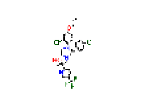 CCCOc1ccc(N2CCN(C[C@@](C)(O)c3ccc(C(F)(F)F)cn3)C[C@H]2c2ccc(Cl)cc2)c(Cl)c1